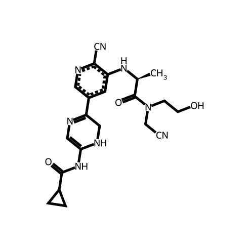 C[C@H](Nc1cc(C2=NC=C(NC(=O)C3CC3)NC2)cnc1C#N)C(=O)N(CC#N)CCO